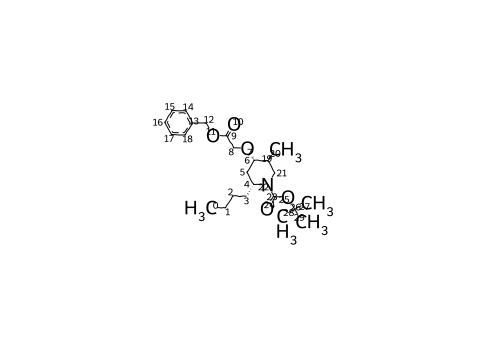 CCCC[C@@H]1C[C@H](OCC(=O)OCc2ccccc2)[C@@H](C)CN1C(=O)OC(C)(C)C